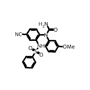 COc1cccc(N(C(N)=O)c2ccc(C#N)cc2NS(=O)(=O)c2ccccc2)c1